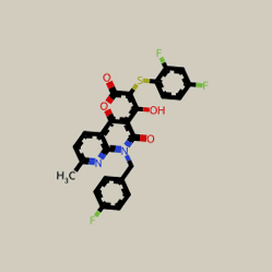 Cc1ccc2c3oc(=O)c(Sc4ccc(F)cc4F)c(O)c3c(=O)n(Cc3ccc(F)cc3)c2n1